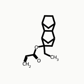 C=CC(=O)OC1(CC)CC2CC1C1C3CCC(C3)C21